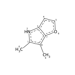 Cc1[nH]c2ccoc2c1C